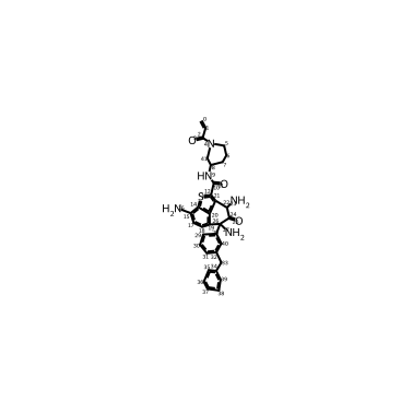 C=CC(=O)N1CCCC(NC(=O)c2sc3c(N)ccc4c3c2C(N)C(=O)C4(N)c2cccc(Cc3ccccc3)c2)C1